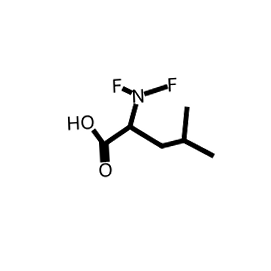 CC(C)CC(C(=O)O)N(F)F